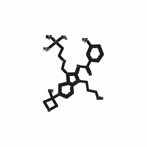 CC(=O)OCCCn1c(=NC(=O)c2cccc(C(F)(F)F)c2)n(COCC[Si](C)(C)C)c2cc(C3(O)COC3)ccc21